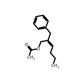 CCCC=C(COC(C)=O)Cc1ccccc1